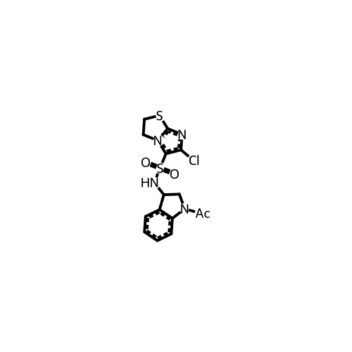 CC(=O)N1CC(NS(=O)(=O)c2c(Cl)nc3n2CCS3)c2ccccc21